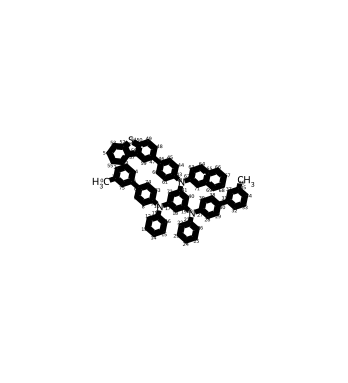 Cc1cccc(-c2ccc(N(c3ccccc3)c3cc(N(c4ccccc4)c4ccc(-c5cccc(C)c5)cc4)cc(N(c4ccc(-c5ccc6sc7ccccc7c6c5)cc4)c4ccc5ccccc5c4)c3)cc2)c1